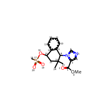 COC(=O)c1cncn1C1c2ccccc2C(OS(C)(=O)=O)CC1(C)C